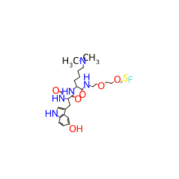 CN(C)CCCCC(NC(=O)C(Cc1c[nH]c2ccc(O)cc12)NC=O)C(=O)NCCOCCOCSF